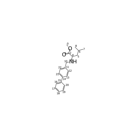 COC(=O)C(CC(C)C)NCc1ccc(-c2ccccc2)cc1